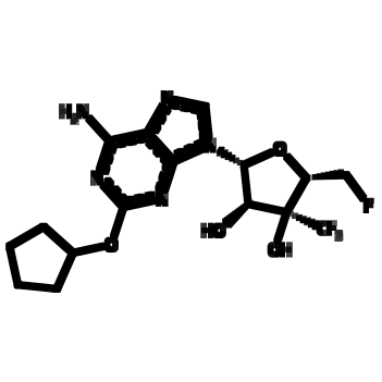 Nc1nc(OC2CCCC2)nc2c1ncn2[C@@H]1O[C@H](CF)[C@](O)(C(F)(F)F)[C@H]1O